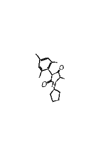 Cc1cc(C)c(C2C(=O)C(C)N(C3CCCC3)C2=O)c(C)c1